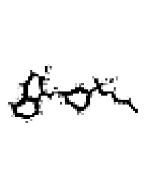 CCCCCC(C)(O)c1cccc(OCc2c(OC)ccc3ccccc23)c1